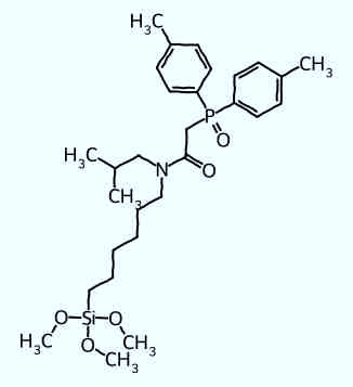 CO[Si](CCCCCCN(CC(C)C)C(=O)CP(=O)(c1ccc(C)cc1)c1ccc(C)cc1)(OC)OC